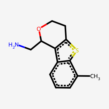 Cc1cccc2c3c(sc12)CCOC3CN